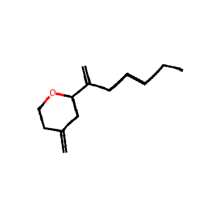 C=C1CCOC(C(=C)CCCCC)C1